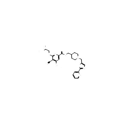 C[C@H](O)CNc1nc(C(=O)NCC2CCN(Cc3cnc(-c4ccccn4)s3)CC2)cc(N)c1C#N